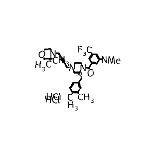 CNc1cc(C(=O)N2CCN(CC#CCN3CCOCC3(C)C)C[C@H]2Cc2ccc(C)c(C)c2)cc(C(F)(F)F)c1.Cl.Cl